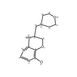 Clc1ncnc2c1OCC(CN1CCOCC1)N2